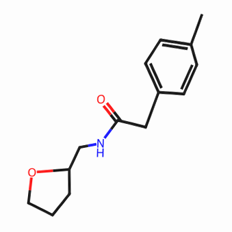 Cc1ccc(CC(=O)NCC2CCCO2)cc1